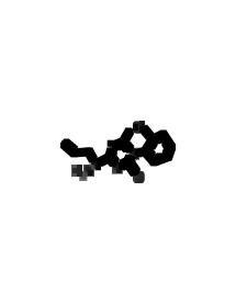 C=CCN(N)c1nc(C)n(-c2ccccc2Cl)c(=O)n1